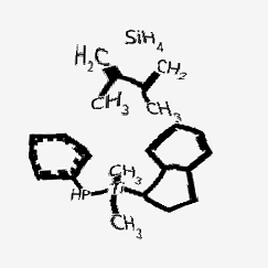 C=C(C)C(=C)C.[CH3][Ti]([CH3])([PH]c1ccccc1)[CH]1CCC2C=CC=CC21.[SiH4]